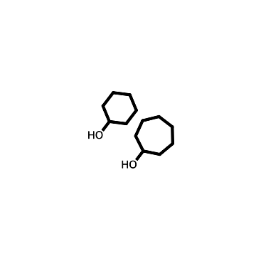 OC1CCCCC1.OC1CCCCCC1